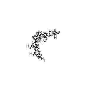 COc1nc(-c2ccnc(-c3cccc(NC(=O)c4nc5c(n4C)CCN(Cc4oc(C)nc4C)C5)c3Cl)c2Cl)ccc1CNC[C@@H]1CCC(=O)N1